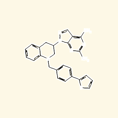 Nc1nc(N)c2cnn(C3Cc4ccccc4N(Cc4ccc(-c5cccs5)cc4)C3)c2n1